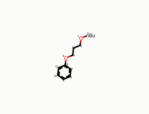 CCCCOCCCOc1[c]cccc1